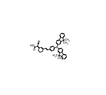 CC1(C)c2ccccc2-c2ccc(N(c3ccc(/C=C/C4=CC(=C(\C#N)C(=O)O)/CCC4)cc3)c3ccc4c(c3)C(C)(C)c3ccccc3-4)cc21